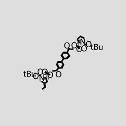 CC=C1C[C@@H](C(=O)OCC(=O)c2ccc(-c3ccc(C(=O)COC(=O)[C@@H]4CCCN4C(=O)OC(C)(C)C)cc3)cc2)N(C(=O)OC(C)(C)C)C1